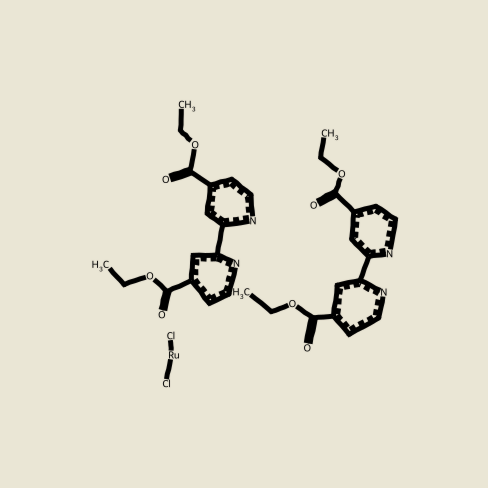 CCOC(=O)c1ccnc(-c2cc(C(=O)OCC)ccn2)c1.CCOC(=O)c1ccnc(-c2cc(C(=O)OCC)ccn2)c1.[Cl][Ru][Cl]